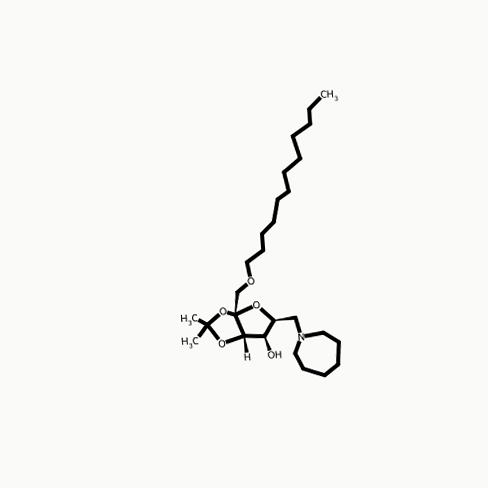 CCCCCCCCCCCCOC[C@@]12O[C@@H](CN3CCCCCC3)[C@@H](O)[C@@H]1OC(C)(C)O2